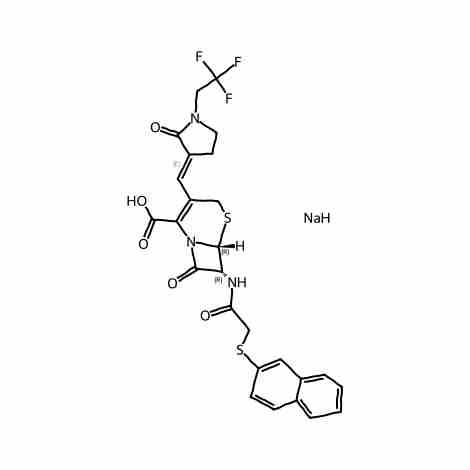 O=C(CSc1ccc2ccccc2c1)N[C@@H]1C(=O)N2C(C(=O)O)=C(/C=C3\CCN(CC(F)(F)F)C3=O)CS[C@H]12.[NaH]